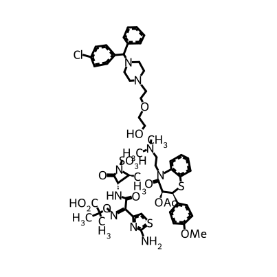 COc1ccc([C@@H]2Sc3ccccc3N(CCN(C)C)C(=O)[C@@H]2OC(C)=O)cc1.C[C@H]1[C@H](NC(=O)/C(=N\OC(C)(C)C(=O)O)c2csc(N)n2)C(=O)N1S(=O)(=O)O.OCCOCCN1CCN(C(c2ccccc2)c2ccc(Cl)cc2)CC1